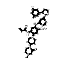 C=CC(=O)Nc1cc(Nc2cc(N3OCCC3c3cc(F)cc(F)c3)ncn2)c(OC)cc1N1CCC(N2CCN(C)CC2=O)CC1